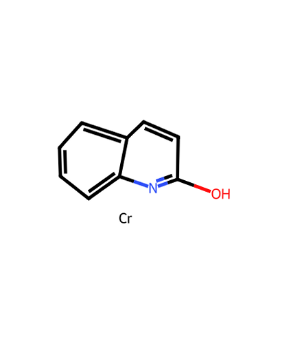 Oc1ccc2ccccc2n1.[Cr]